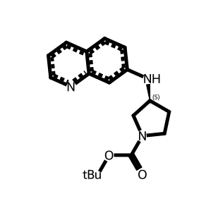 CC(C)(C)OC(=O)N1CC[C@H](Nc2ccc3cccnc3c2)C1